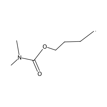 [CH2]CCCOC(=O)N(C)C